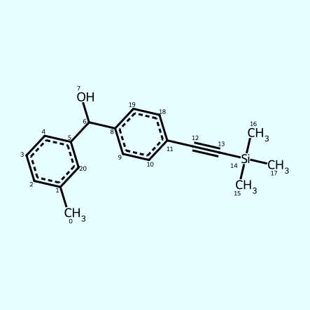 Cc1cccc(C(O)c2ccc(C#C[Si](C)(C)C)cc2)c1